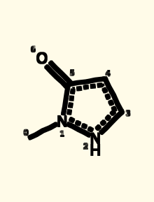 Cn1[nH]ccc1=O